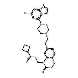 O=C(OCN1C(=O)CCc2ccc(CCN3CCN(c4cc(F)cc5sccc45)CC3)cc21)C1CCC1